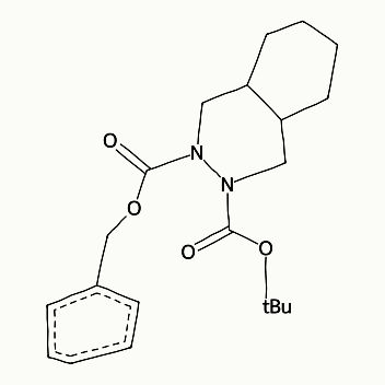 CC(C)(C)OC(=O)N1CC2CCCCC2CN1C(=O)OCc1ccccc1